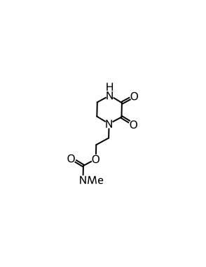 CNC(=O)OCCN1CCNC(=O)C1=O